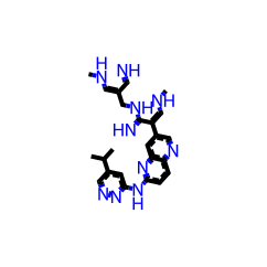 CN/C=C(\C=N)CNC(=N)/C(=C\NC)c1cnc2ccc(Nc3cc(C(C)C)cnn3)nc2c1